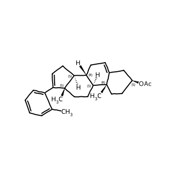 CC(=O)O[C@H]1CC[C@@]2(C)C(=CC[C@@H]3[C@@H]2CC[C@]2(C)C(c4ccccc4C)=CC[C@@H]32)C1